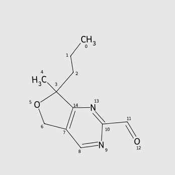 CCCC1(C)OCc2cnc(C=O)nc21